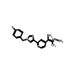 NN/C(=C(\N)c1ccnc(-c2cn(Cc3ccc(F)cc3)cn2)c1)C(F)(F)F